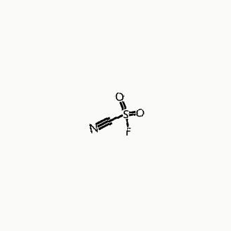 N#CS(=O)(=O)F